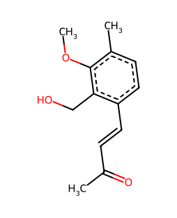 COc1c(C)ccc(/C=C/C(C)=O)c1CO